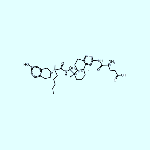 CCCCCC(C)(C(=O)NC(=O)[C@@]1(C)CCC[C@]2(C)c3cc(NC(=O)[C@@H](N)CCC(=O)O)ccc3CC[C@@H]12)[C@@H]1CCc2ccc(O)cc2C1